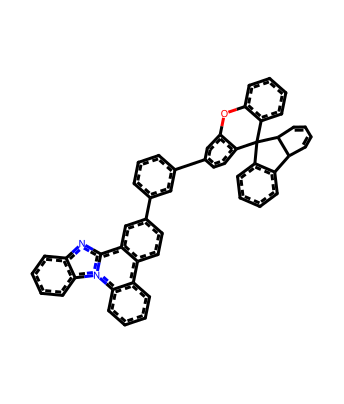 C1=CC2c3ccccc3C3(c4ccccc4Oc4cc(-c5cccc(-c6ccc7c8ccccc8n8c9ccccc9nc8c7c6)c5)ccc43)C2C=C1